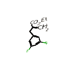 C=C(Cc1cc(F)cc(F)c1)C(=O)OCC